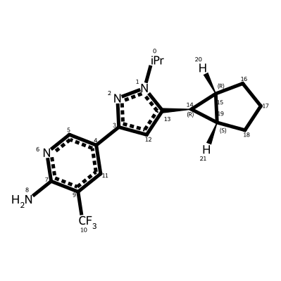 CC(C)n1nc(-c2cnc(N)c(C(F)(F)F)c2)cc1[C@H]1[C@@H]2CCC[C@@H]21